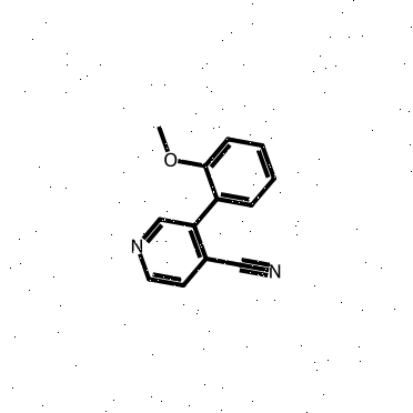 COc1ccccc1-c1cnccc1C#N